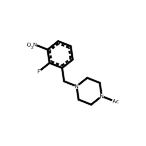 CC(=O)N1CCN(Cc2cccc([N+](=O)[O-])c2F)CC1